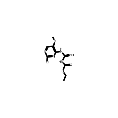 CCOC(=O)NC(=N)Nc1nc(Cl)ncc1OC